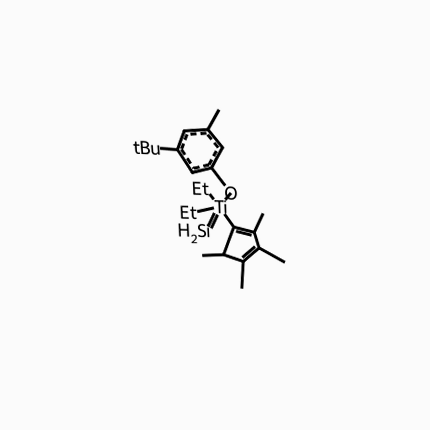 C[CH2][Ti](=[SiH2])([CH2]C)([O]c1cc(C)cc(C(C)(C)C)c1)[C]1=C(C)C(C)=C(C)C1C